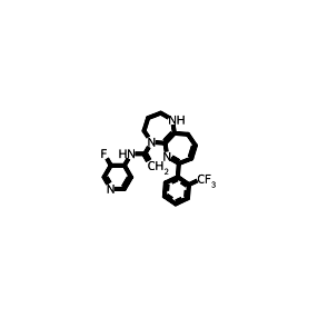 C=C(NC1C=CN=CC1F)N1CCCNC2=C1N=C(c1ccccc1C(F)(F)F)C=CC2